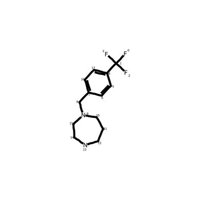 FC(F)(F)c1ccc(CN2CCC[N]CC2)cc1